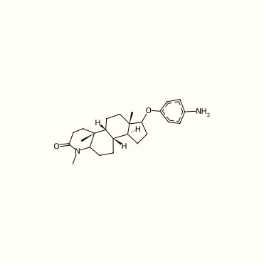 CN1C(=O)CC[C@@]2(C)C1CC[C@@H]1[C@H]2CC[C@]2(C)C(Oc3ccc(N)cc3)CC[C@@H]12